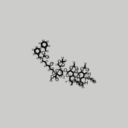 CC[C@H](C)C1O[C@H](O[C@H]2C([C@H]3COC(C)(C)O3)O[C@@](OCCC(=O)CCCN(Cc3ccccc3)C(=O)OCc3ccccc3)(C(=O)OC)C[C@H]2C)C(OC(C)=O)[C@@H](O[C@H]2O[C@@H]([C@@H](C)CC)[C@@H](PBB=O)C(C)C2OC(C)=O)[C@@H]1PBB=O